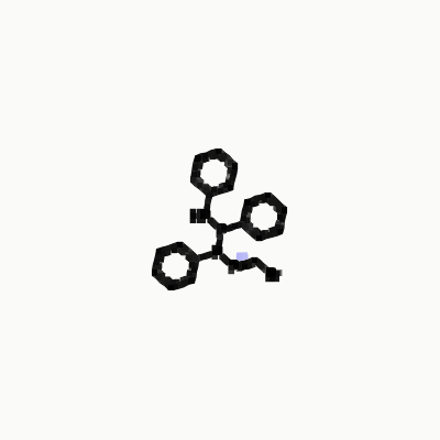 Br/C=P/P(c1ccccc1)P(Pc1ccccc1)c1ccccc1